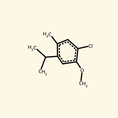 COc1cc(C(C)C)c(C)cc1Cl